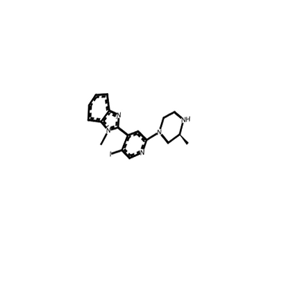 C[C@H]1CN(c2cc(-c3nc4ccccc4n3C)c(I)cn2)CCN1